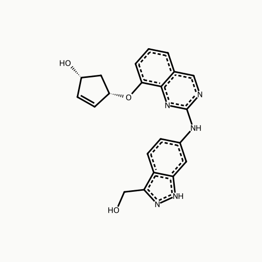 OCc1n[nH]c2cc(Nc3ncc4cccc(O[C@@H]5C=C[C@H](O)C5)c4n3)ccc12